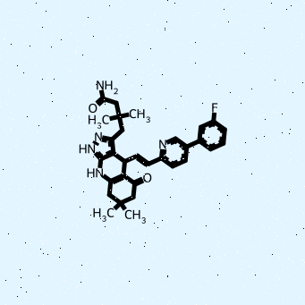 CC1(C)CC(=O)C2=C(C1)Nc1[nH]nc(CC(C)(C)CC(N)=O)c1C2C=Cc1ccc(-c2cccc(F)c2)cn1